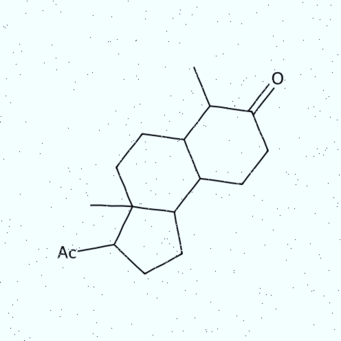 CC(=O)C1CCC2C3CCC(=O)C(C)C3CCC12C